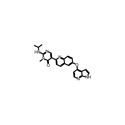 CC(C)Nc1ncc(-c2ccc3cc(Oc4ccnc5[nH]ccc45)ccc3n2)c(=O)n1C